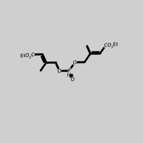 CCOC(=O)/C=C(\C)CO[PH](=O)OC/C(C)=C/C(=O)OCC